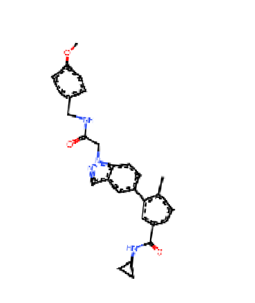 COc1ccc(CNC(=O)Cn2ncc3cc(-c4cc(C(=O)NC5CC5)ccc4C)ccc32)cc1